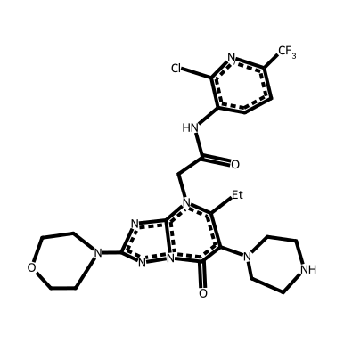 CCc1c(N2CCNCC2)c(=O)n2nc(N3CCOCC3)nc2n1CC(=O)Nc1ccc(C(F)(F)F)nc1Cl